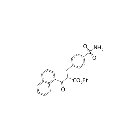 CCOC(=O)C(Cc1ccc(S(N)(=O)=O)cc1)C(=O)c1cccc2ccccc12